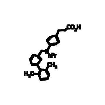 CCCN(Cc1cccc(-c2c(C)cccc2C)c1)c1ccc(CCC(=O)O)cc1